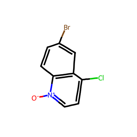 [O-][n+]1ccc(Cl)c2cc(Br)ccc21